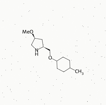 CO[C@@H]1CN[C@H](COC2CCC(C)CC2)C1